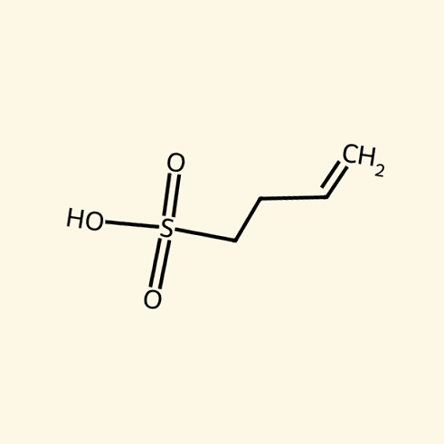 C=CCCS(=O)(=O)O